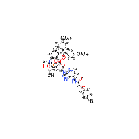 COc1ccc(C(OC[C@H]2O[C@@H](n3nnc4c(NC(=O)COc5ccc(C(C)(C)C)cc5)ccnc43)C[C@@H]2P(O)(O)(CCC#N)N(C(C)C)C(C)C)(c2ccccc2)c2ccc(OC)cc2)cc1